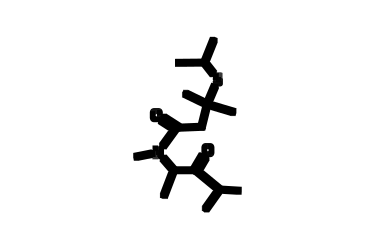 CC(C)SC(C)(C)CC(=O)N(C)C(C)C(=O)C(C)C